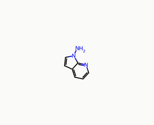 Nn1ccc2cccnc21